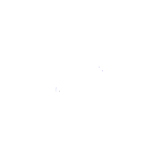 c1ccc2c(c1)Oc1cccnc1/C2=C1\c2ccccc2Oc2cccnc21